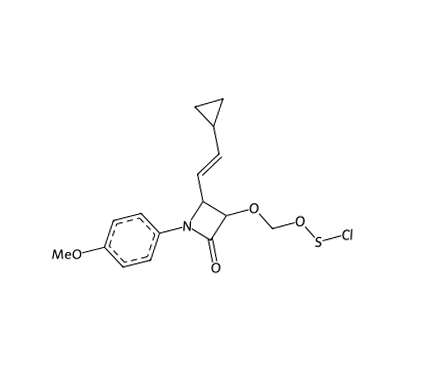 COc1ccc(N2C(=O)C(OCOSCl)C2/C=C/C2CC2)cc1